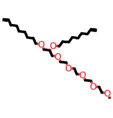 C=CCCCCCCCOCC(COCCOCCOCCOCCOC)OCCCCCCCC=C